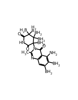 Bc1cc2nc(C)n(C3(B)C(=O)NC(=O)C(B)(B)C3(B)B)c(=O)c2c(N)c1B